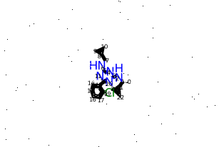 C[C@@H](Nc1nc(NCC2CC2)nc(-c2ccccc2Cl)n1)C1CC1